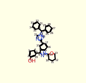 Oc1cccc(-c2nn(C3CCCCO3)c3ccc(-c4ncn(C(c5ccccc5)c5ccccc5)n4)cc23)c1